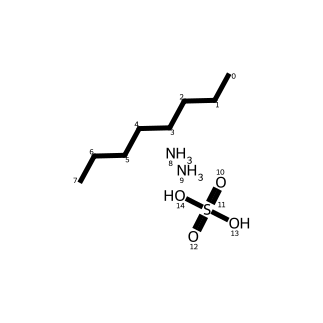 CCCCCCCC.N.N.O=S(=O)(O)O